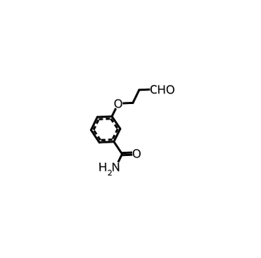 NC(=O)c1cccc(OCCC=O)c1